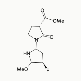 COC(=O)[C@H]1CCN(C2C[C@@H](F)C(OC)N2)C1=O